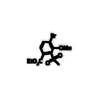 CCOC(=O)c1ccc(Br)c(OC)c1S(C)(=O)=O